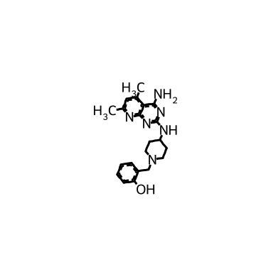 Cc1cc(C)c2c(N)nc(NC3CCN(Cc4ccccc4O)CC3)nc2n1